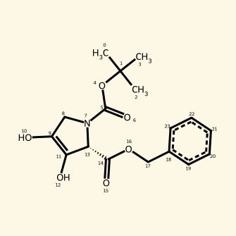 CC(C)(C)OC(=O)N1CC(O)=C(O)[C@H]1C(=O)OCc1ccccc1